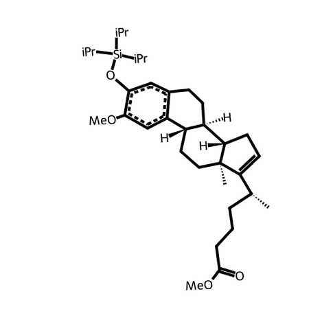 COC(=O)CCC[C@@H](C)C1=CC[C@H]2[C@@H]3CCc4cc(O[Si](C(C)C)(C(C)C)C(C)C)c(OC)cc4[C@H]3CC[C@]12C